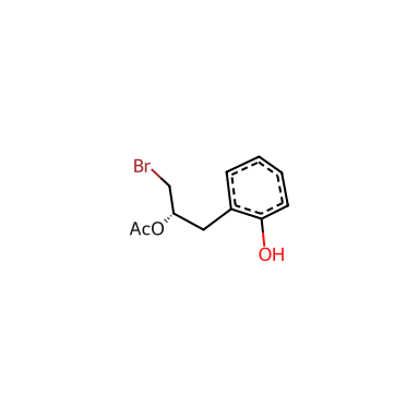 CC(=O)O[C@H](CBr)Cc1ccccc1O